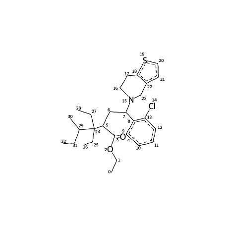 CCOC(=O)C(CC(c1ccccc1Cl)N1CCc2sccc2C1)C(CC)(CC)C(C)CC